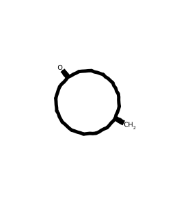 C=C1CCCCCCCCC(=O)CCCCCC1